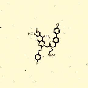 CNCCN(Cc1ccc(-c2ccc(Cl)cc2)cc1)C(=O)Cn1cc(C(C)c2cn[nH]c2)c(=O)nc1SCc1ccc(F)cc1.Cl